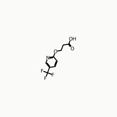 O=C(O)CCOc1ccc(C(F)(F)F)cn1